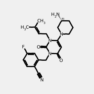 CC(C)=CCn1c(N2CCC[C@@H](N)C2)cc(=O)n(Cc2cc(F)ccc2C#N)c1=O